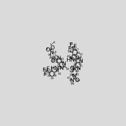 CCOC(=O)N1CCP(=O)(c2cc3c(N[C@H](C)c4cccc(C(F)(F)F)c4C)nc(C)nc3cn2)CC1.Cc1nc(N[C@H](C)c2cccc(C(F)(F)F)c2C)c2cc(P3(=O)CCN(C(=O)N(C)C)CC3)ncc2n1